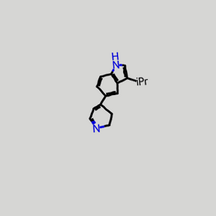 CC(C)c1c[nH]c2ccc(C3=CC=NCC3)cc12